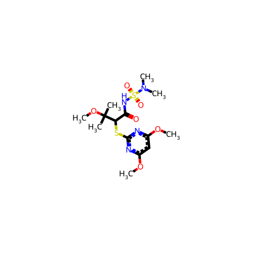 COc1cc(OC)nc(SC(C(=O)NS(=O)(=O)N(C)C)C(C)(C)OC)n1